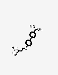 CC(C)CCOc1ccc(-c2ccc(B(O)O)cc2)cc1